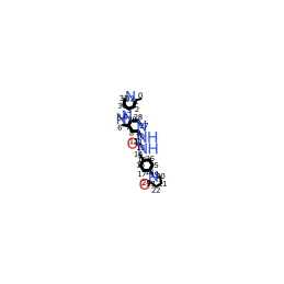 Cc1cc(-n2ncc3cc(NC(=O)NCc4ccc(N5CCCC5=O)cc4)ncc32)ccn1